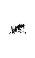 CC(C)CC1CC(C(N)CNC(=O)C2CCc3cc(Cl)ccc32)CC(C)(C(=O)Nc2ccncc2)C1